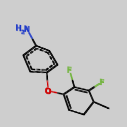 CC1CC=C(Oc2ccc(N)cc2)C(F)=C1F